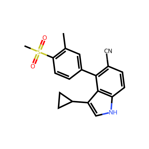 Cc1cc(-c2c(C#N)ccc3[nH]cc(C4CC4)c23)ccc1S(C)(=O)=O